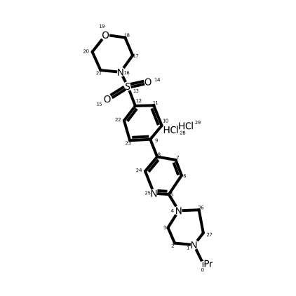 CC(C)N1CCN(c2ccc(-c3ccc(S(=O)(=O)N4CCOCC4)cc3)cn2)CC1.Cl.Cl